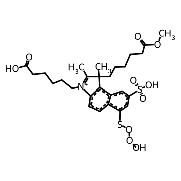 COC(=O)CCCCCC1(C)C(C)=[N+](CCCCCC(=O)O)c2ccc3c(SOOO)cc(S(=O)(=O)O)cc3c21